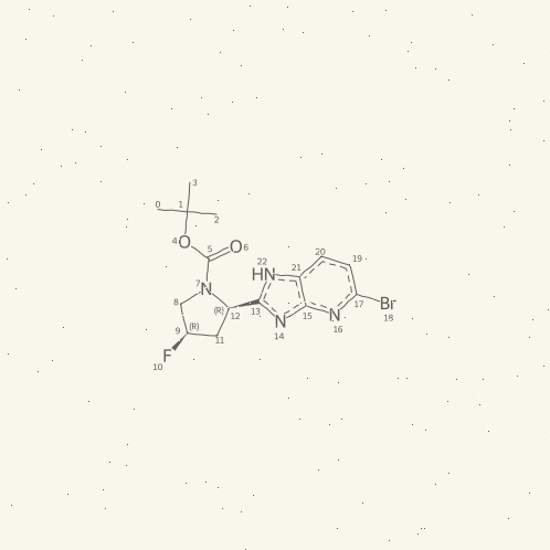 CC(C)(C)OC(=O)N1C[C@H](F)C[C@@H]1c1nc2nc(Br)ccc2[nH]1